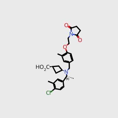 Cc1cc([C@@H](C)N(Cc2ccc(OCCN3C(=O)CCC3=O)c(C)c2)[C@H]2C[C@H](C(=O)O)C2)ccc1Cl